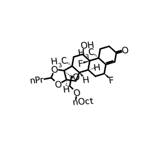 CCCCCCCCOCC(=O)[C@@]12OC(CCC)O[C@@H]1C[C@H]1[C@@H]3C[C@H](F)C4=CC(=O)CC[C@]4(C)[C@@]3(F)[C@@H](O)C[C@@]12C